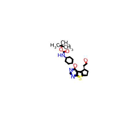 CC(C)(C)OC(=O)N[C@H]1CC[C@H](Oc2ncnc3sc4c(c23)[C@@H](CC=O)CC4)CC1